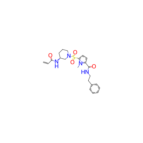 C=CC(=O)N[C@H]1CCCN(S(=O)(=O)c2ccc(C(=O)NCCc3ccccc3)n2C)C1